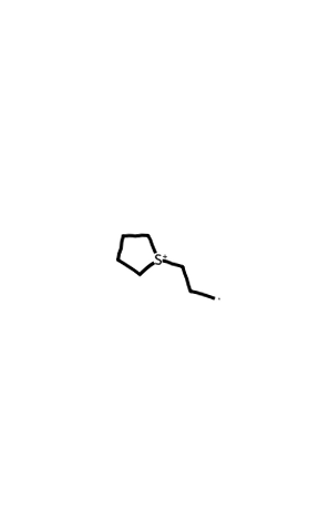 [CH2]CC[S+]1CCCC1